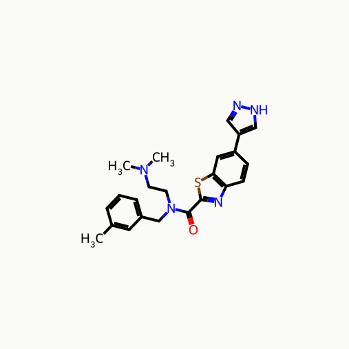 Cc1cccc(CN(CCN(C)C)C(=O)c2nc3ccc(-c4cn[nH]c4)cc3s2)c1